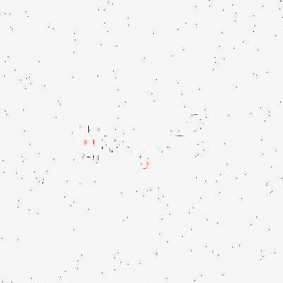 CC(C)(C)c1cc(CCC(=O)OCCSCCc2ccccc2)cc(C(C)(C)C)c1O